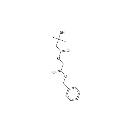 CC(C)(S)CC(=O)OCC(=O)OCc1ccccc1